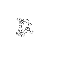 CC1(C)c2ccccc2-c2cc3c(-c4ccccc4)cc(-c4cccc(-c5cccc(-c6nc(-c7ccccc7)nc(-c7ccccc7)n6)c5)c4)nc3cc21